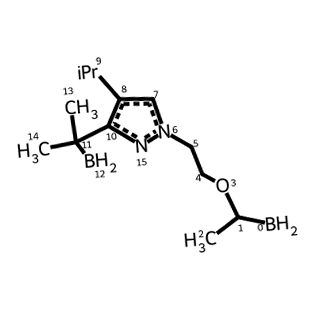 BC(C)OCCn1cc(C(C)C)c(C(B)(C)C)n1